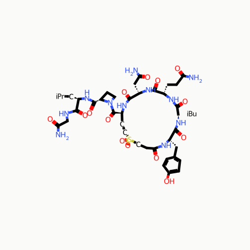 CC[C@H](C)[C@@H]1NC(=O)[C@H](Cc2ccc(O)cc2)NC(=O)CCS(=O)(=O)CC[C@@H](C(=O)N2CC[C@H]2C(=O)N[C@@H](CC(C)C)C(=O)NCC(N)=O)NC(=O)[C@H](CC(N)=O)NC(=O)[C@H](CCC(N)=O)NC1=O